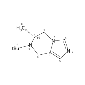 C[C@@H]1Cn2cncc2CN1C(C)(C)C